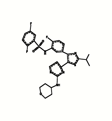 CC(C)c1nc(-c2ccc(F)c(NS(=O)(=O)c3cc(F)ccc3F)c2)c(-c2ccnc(NC3CCOCC3)n2)s1